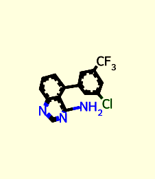 Nc1ncnc2cccc(-c3cc(Cl)cc(C(F)(F)F)c3)c12